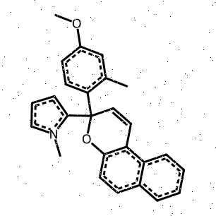 COc1ccc(C2(c3cccn3C)C=Cc3c(ccc4ccccc34)O2)c(C)c1